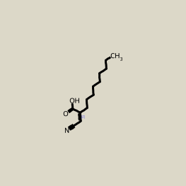 CCCCCCCCC/C(=C/C#N)C(=O)O